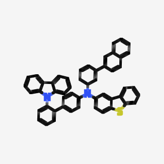 C1=CC(c2ccc3ccccc3c2)=CC(N(c2ccc(-c3ccccc3-n3c4ccccc4c4ccccc43)cc2)c2ccc3sc4ccccc4c3c2)C1